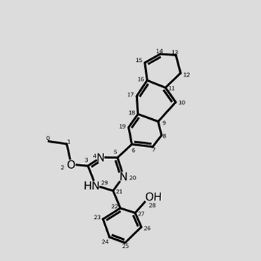 CCOC1=NC(C2=CCC3C=C4CCC=CC4=CC3=C2)=NC(c2ccccc2O)N1